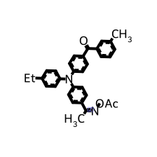 CCc1ccc(N(c2ccc(C(=O)c3cccc(C)c3)cc2)c2ccc(/C(C)=N\OC(C)=O)cc2)cc1